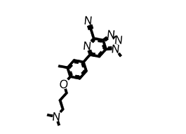 Cc1cc(-c2cc3c(nnn3C)c(C#N)n2)ccc1OCCCN(C)C